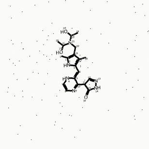 Cc1[nH]c(C=C2NC=CN=C2C2C=NNC2=O)c(C)c1CN(C(C)O)C(C)O